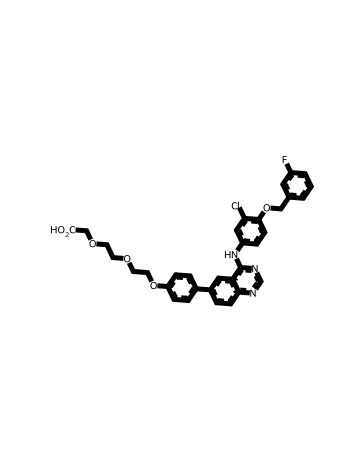 O=C(O)COCCOCCOc1ccc(-c2ccc3ncnc(Nc4ccc(OCc5cccc(F)c5)c(Cl)c4)c3c2)cc1